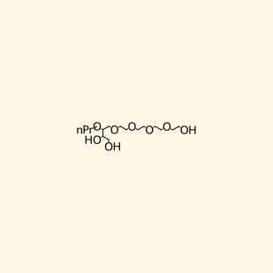 CCCOC(COCCOCCOCCOCCO)C(O)CO